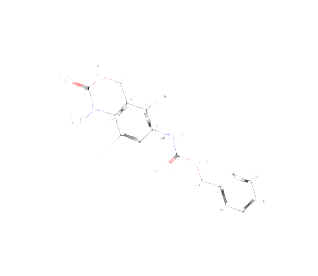 CN1C(=O)OCc2c(F)c(NC(=O)OCc3ccccc3)cc(F)c21